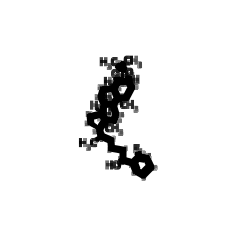 C[C@H](CCCC(O)c1ccccc1F)[C@H]1CC[C@H]2[C@@H]3CC[C@H]4[C@H]5OC(C)(C)O[C@H]5CC[C@]4(C)[C@H]3CC[C@]12C